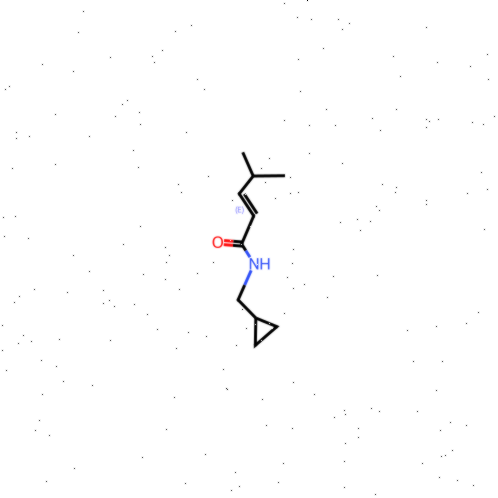 CC(C)/C=C/C(=O)NCC1CC1